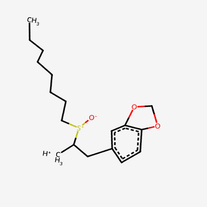 CCCCCCCC[S+]([O-])C(C)Cc1ccc2c(c1)OCO2.[H+]